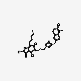 CCCCCn1c(=O)n(CCCc2cnn(Cc3ccc4c(ccc(=O)n4C)c3)c2)c(=O)c2[nH]c(Cl)nc21